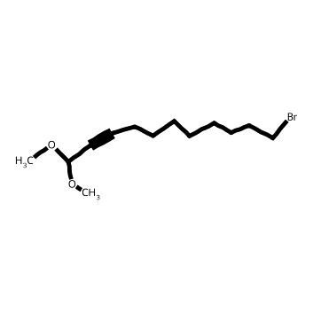 COC(C#CCCCCCCCCBr)OC